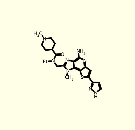 CCN(Cc1nc2c(N)nc3cc(-c4cc[nH]n4)sc3c2n1C)C(=O)C1CCN(C)CC1